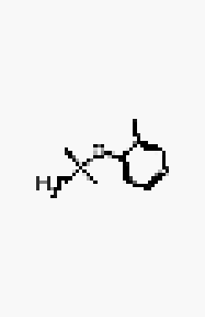 Cc1ccccc1OC(C)(C)P